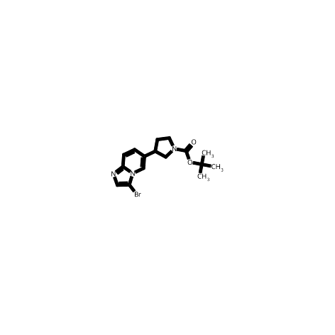 CC(C)(C)OC(=O)N1CCC(c2ccc3ncc(Br)n3c2)C1